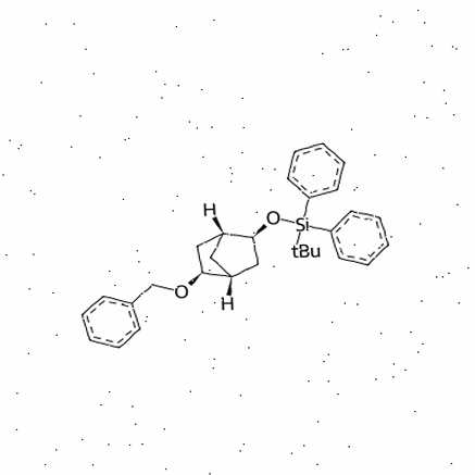 CC(C)(C)[Si](O[C@H]1C[C@H]2C[C@@H]1C[C@@H]2OCc1ccccc1)(c1ccccc1)c1ccccc1